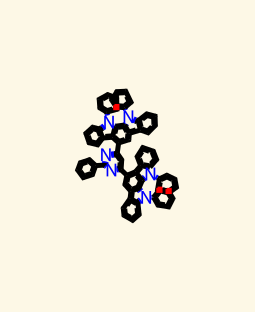 c1ccc(-c2nc(-c3cc4c5ccccc5n(-c5ccccc5)c4c4c3c3ccccc3n4-c3ccccc3)cc(-c3cc4c5ccccc5n(-c5ccccc5)c4c4c3c3ccccc3n4-c3ccccc3)n2)cc1